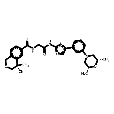 C[C@@H]1CN(c2cccc(-c3csc(NC(=O)CNC(=O)c4ccc5c(c4)[C@](C)(C#N)COC5)n3)c2)C[C@H](C)O1